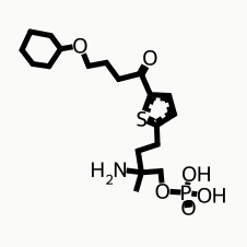 CC(N)(CCc1ccc(C(=O)CCCOC2CCCCC2)s1)COP(=O)(O)O